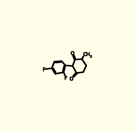 CC1CCC(=O)C(c2ccc(F)cc2F)C1=O